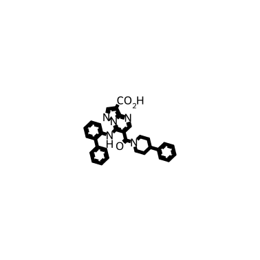 O=C(O)c1cnn2c(Nc3ccccc3-c3ccccc3)c(C(=O)N3CCC(c4ccccc4)CC3)cnc12